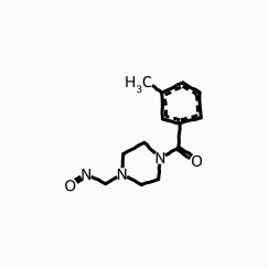 Cc1cccc(C(=O)N2CCN(CN=O)CC2)c1